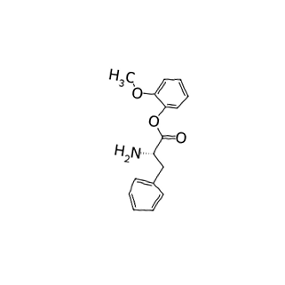 COc1ccccc1OC(=O)[C@@H](N)Cc1ccccc1